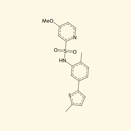 COc1ccnc(S(=O)(=O)Nc2cc(-c3ccc(C)s3)ccc2C)c1